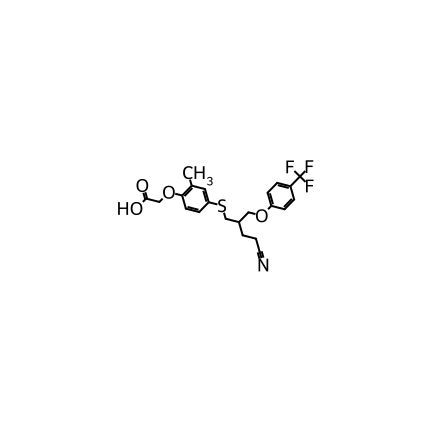 Cc1cc(SCC(CCC#N)COc2ccc(C(F)(F)F)cc2)ccc1OCC(=O)O